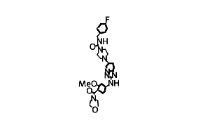 COc1cc(Nc2nc3ccc(N4CCN(C(=O)NCc5ccc(F)cc5)CC4)cn3n2)ccc1C(=O)N1CCOCC1